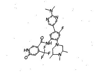 CC1CN(c2cc(F)c(-c3cnc(N(C)C)nc3)cc2NC(=O)c2c[nH]c(=O)cc2C(F)(F)F)CC(C)N1C